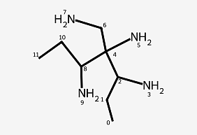 CCC(N)C(N)(CN)C(N)CC